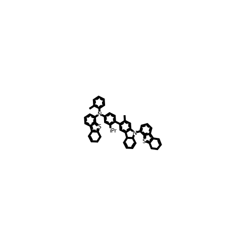 Cc1cc2c(cc1-c1ccc(N(c3ccccc3C)c3cccc4c5c(sc34)CCC=C5)cc1C(C)C)C1C=CC=CC1N2c1cccc2c3c(sc12)CCC=C3